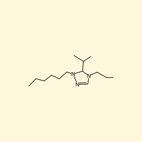 CCCCCCN1N=CN(CCC)C1C(C)C